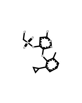 Cc1cccc(C2CC2)c1Oc1nnc(Cl)cc1OS(=O)(=O)CCl